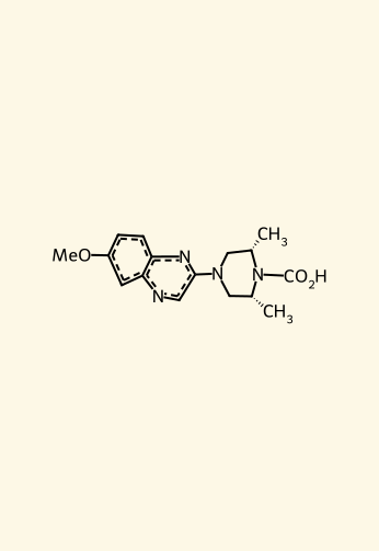 COc1ccc2nc(N3C[C@@H](C)N(C(=O)O)[C@@H](C)C3)cnc2c1